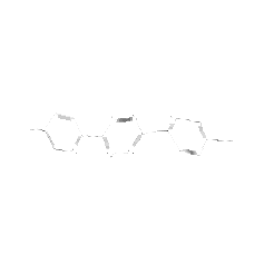 Oc1ccc(-c2nnc(-c3ccc(O)cn3)nn2)nc1